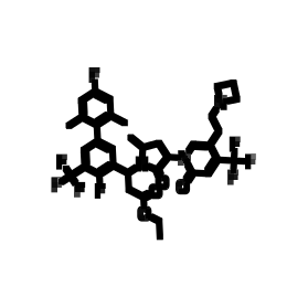 CCOC(=O)CC(c1cc(-c2c(C)cc(F)cc2C)cc(C(F)(F)F)c1F)N1C(=O)C(n2cc(CCN3CCC3)c(C(F)(F)F)cc2=O)CC1C